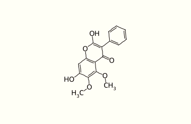 COc1c(O)cc2oc(O)c(-c3ccccc3)c(=O)c2c1OC